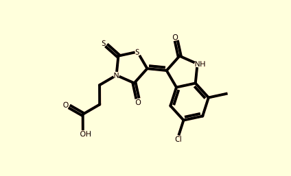 Cc1cc(Cl)cc2c1NC(=O)/C2=C1\SC(=S)N(CCC(=O)O)C1=O